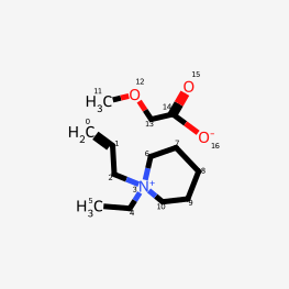 C=CC[N+]1(CC)CCCCC1.COCC(=O)[O-]